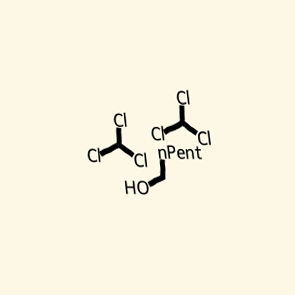 CCCCCCO.ClC(Cl)Cl.ClC(Cl)Cl